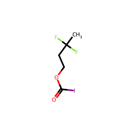 CC(F)(F)CCOC(=O)I